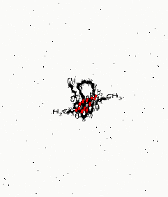 CC=CCCC(=O)Oc1ccccc1-c1c(-c2ccccc2OC(=O)CCC=CC)c2c(-c3ccccc3OC(=O)CCC=CC)c3nc(cc4ccc(cc5nc(cc1n2-c1ccccc1OC(=O)CCC=CC)C=C5)[nH]4)C=C3